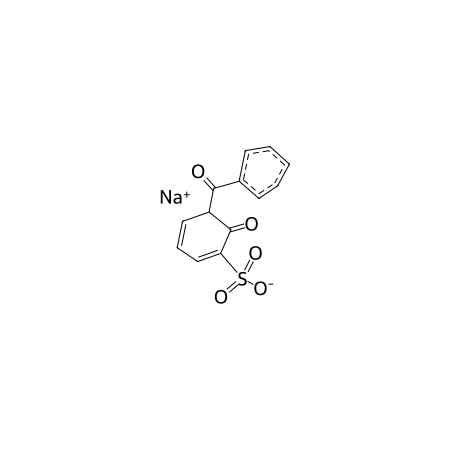 O=C1C(S(=O)(=O)[O-])=CC=CC1C(=O)c1ccccc1.[Na+]